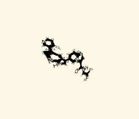 O=C(NCC(F)F)c1cnc2ccc(-c3c[nH]c4ncc(-c5cccnc5)cc34)cn12